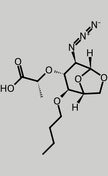 CCCCO[C@H]1[C@H](O[C@H](C)C(=O)O)[C@@H](N=[N+]=[N-])[C@@H]2OC[C@H]1O2